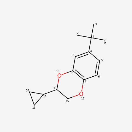 CC(C)(C)c1ccc2c(c1)OC(C1CC1)CO2